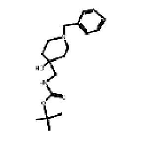 CC(C)(C)OC(=O)NCC1(O)CCN(Cc2ccccc2)CC1